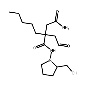 CCCCCC(CC=O)(CC(N)=O)C(=O)NN1CCCC1CO